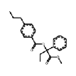 CCCc1ccc(C(=O)OC(CC)(C(=O)OC)c2ccccc2)cc1